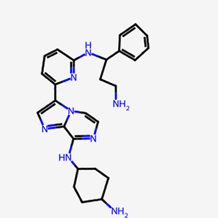 NCCC(Nc1cccc(-c2cnc3c(NC4CCC(N)CC4)nccn23)n1)c1ccccc1